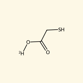 [2H]OC(=O)CS